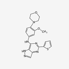 COc1cc(Nc2nc(-c3cccs3)nc3cn[nH]c23)ccc1N1CCOCC1